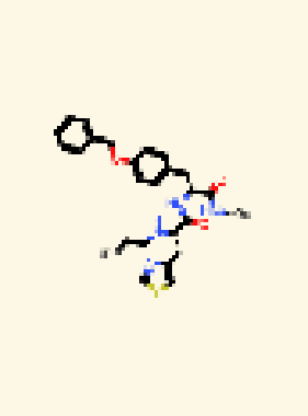 CC(C)CCN[C@@H](Cc1cscn1)C(=O)N[C@@H](Cc1ccc(OCc2ccccc2)cc1)C(=O)NC(C)(C)C